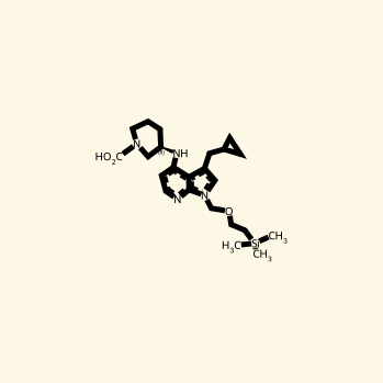 C[Si](C)(C)CCOCn1cc(CC2CC2)c2c(N[C@@H]3CCCN(C(=O)O)C3)ccnc21